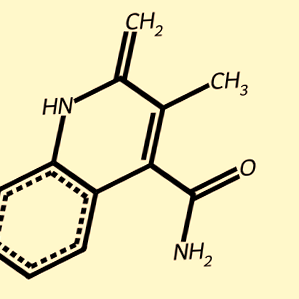 C=C1Nc2ccccc2C(C(N)=O)=C1C